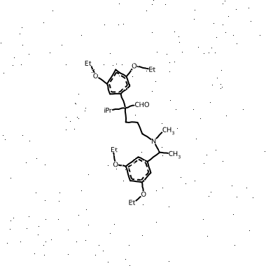 CCOc1cc(OCC)cc(C(C)N(C)CCCC(C=O)(c2cc(OCC)cc(OCC)c2)C(C)C)c1